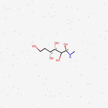 CN[C@H](O)C(O)[C@@H](O)[C@H](O)CCO